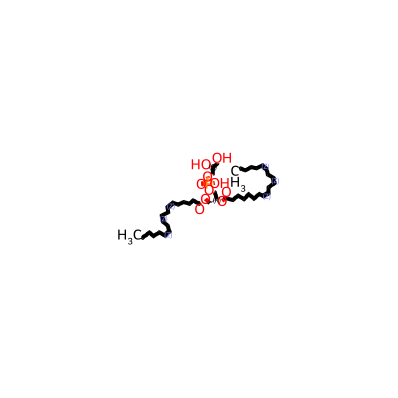 CCCCC/C=C\C/C=C\C/C=C\CCCCCCC(=O)O[C@H](COC(=O)CCCC/C=C\C/C=C\C/C=C\CCCCC)COP(=O)(O)OC[C@@H](O)CO